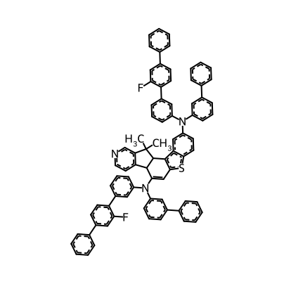 CC1(C)c2cnccc2C2C(N(c3cccc(-c4ccccc4)c3)c3cccc(-c4ccc(-c5ccccc5)cc4F)c3)=Cc3sc4ccc(N(c5cccc(-c6ccccc6)c5)c5cccc(-c6ccc(-c7ccccc7)cc6F)c5)cc4c3C21